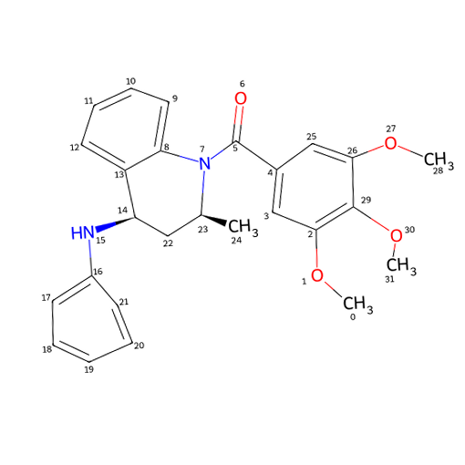 COc1cc(C(=O)N2c3ccccc3[C@H](Nc3ccccc3)C[C@@H]2C)cc(OC)c1OC